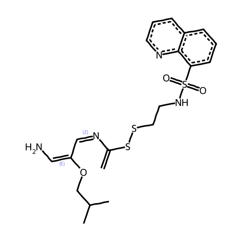 C=C(/N=C\C(=C/N)OCC(C)C)SSCCNS(=O)(=O)c1cccc2cccnc12